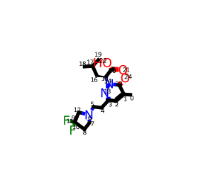 Cc1cc(CCN2CCC(F)(F)C2)nn([C@@H](CC(C)C)C(=O)O)c1=O